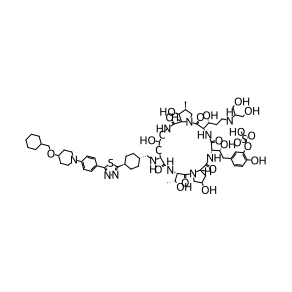 C[C@@H](O)[C@@H]1NC(=O)[C@@H](NC[C@H]2CC[C@H](c3nnc(-c4ccc(N5CCC(OCC6CCCCC6)CC5)cc4)s3)CC2)C[C@@H](O)CNC(=O)[C@@H]2[C@@H](O)[C@@H](C)CN2C(=O)[C@H]([C@H](O)CCNC(CO)CO)NC(=O)[C@H]([C@H](O)Cc2ccc(O)c(OS(=O)(=O)O)c2)NC(=O)[C@@H]2C[C@@H](O)CN2C1=O